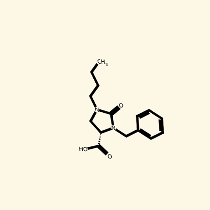 CCCCN1C[C@@H](C(=O)O)N(Cc2ccccc2)C1=O